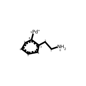 NCCc1cccc[c]1[Pd+]